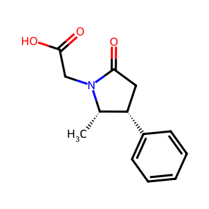 C[C@H]1[C@@H](c2ccccc2)CC(=O)N1CC(=O)O